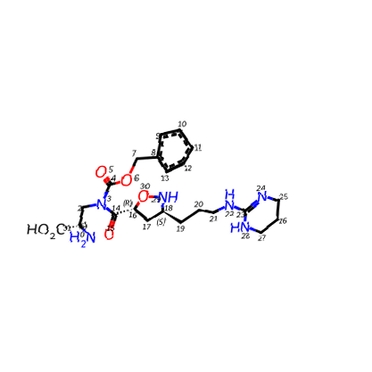 N[C@@H](CN(C(=O)OCc1ccccc1)C(=O)[C@H]1C[C@H](CCCNC2=NCCCN2)NO1)C(=O)O